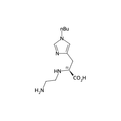 CCCCn1cnc(C[C@H](NCCN)C(=O)O)c1